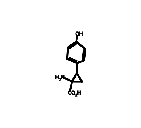 NC1(C(=O)O)CC1c1ccc(O)cc1